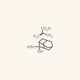 C=C(C)C(=O)O.CCCCCCCCC1(O)C2CC3CC(C2)CC1C3